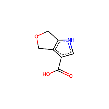 O=C(O)c1c[nH]c2c1COC2